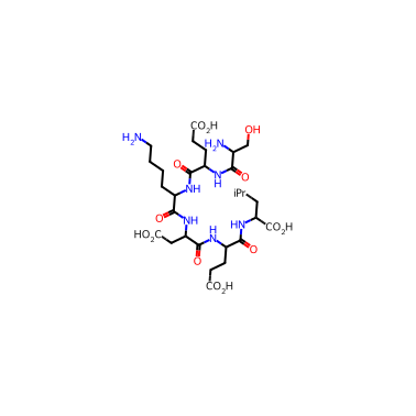 CC(C)CC(NC(=O)C(CCC(=O)O)NC(=O)C(CC(=O)O)NC(=O)C(CCCCN)NC(=O)C(CCC(=O)O)NC(=O)C(N)CO)C(=O)O